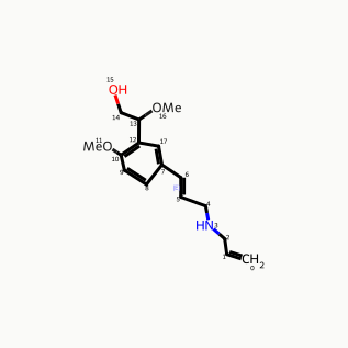 C=CCNC/C=C/c1ccc(OC)c(C(CO)OC)c1